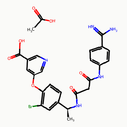 CC(=O)O.C[C@H](NC(=O)CC(=O)Nc1ccc(C(=N)N)cc1)c1ccc(Oc2cncc(C(=O)O)c2)c(Br)c1